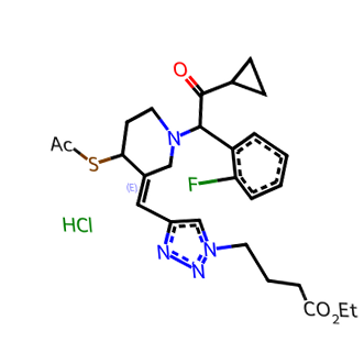 CCOC(=O)CCCn1cc(/C=C2\CN(C(C(=O)C3CC3)c3ccccc3F)CCC2SC(C)=O)nn1.Cl